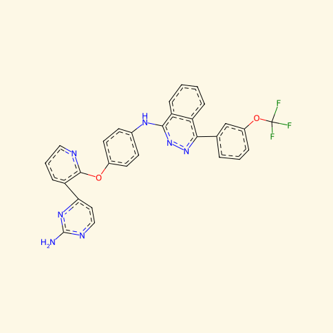 Nc1nccc(-c2cccnc2Oc2ccc(Nc3nnc(-c4cccc(OC(F)(F)F)c4)c4ccccc34)cc2)n1